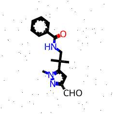 Cn1nc(C=O)cc1C(C)(C)CNC(=O)c1ccccc1